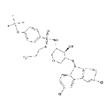 CCCN=S(=O)(N[C@H]1COCC(Sn2c3ccc(Cl)cc3c3cc(Cl)ccc32)[C@@H]1O)c1ccc(OC(F)(F)F)cc1